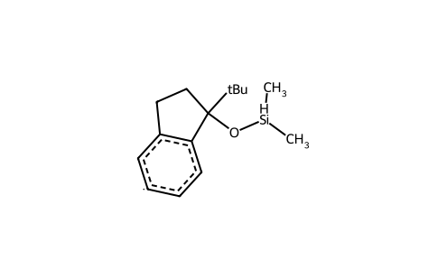 C[SiH](C)OC1(C(C)(C)C)CCc2c[c]ccc21